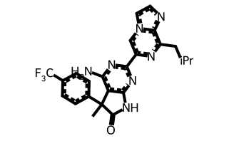 CC(C)Cc1nc(-c2nc(N)c3c(n2)NC(=O)C3(C)c2ccc(C(F)(F)F)cc2)cn2ccnc12